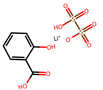 O=C(O)c1ccccc1O.O=S(=O)([O-])S(=O)(=O)O.[Li+]